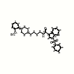 CCOc1ccccc1N1CCN(CCCCNC(=O)c2cn(S(=O)(=O)c3ccccc3)c3ncccc23)CC1